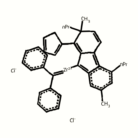 CCCc1cc(C)cc2c1=C1C=CC(C)(CCC)C(C3=CC=CC3)=C1[C]=2[Zr+2]=[C](c1ccccc1)c1ccccc1.[Cl-].[Cl-]